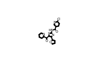 O=C(Nc1nc(-c2ccco2)c(C(=O)c2ccccn2)s1)c1ccc(Cl)nc1